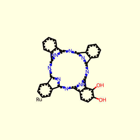 Oc1ccc2c3nc4nc(nc5[nH]c(nc6nc(nc([nH]3)c2c1O)-c1ccccc1-6)c1ccccc51)-c1ccccc1-4.[Ru]